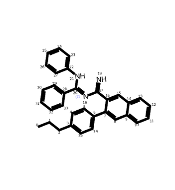 CCCc1ccc(-c2cc3ccccc3cc2C(=N)/N=C(\Nc2ccccc2)c2ccccc2)cc1